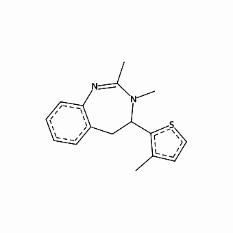 CC1=Nc2ccccc2CC(c2sccc2C)N1C